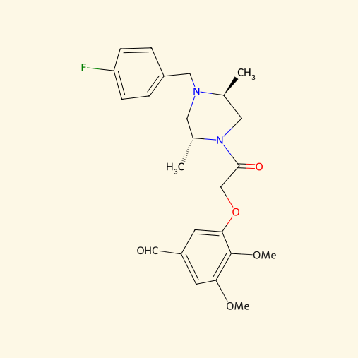 COc1cc(C=O)cc(OCC(=O)N2C[C@H](C)N(Cc3ccc(F)cc3)C[C@H]2C)c1OC